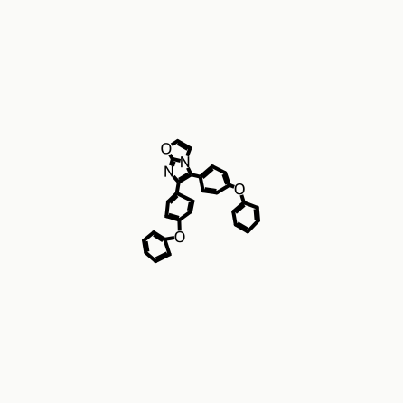 c1ccc(Oc2ccc(-c3nc4occn4c3-c3ccc(Oc4ccccc4)cc3)cc2)cc1